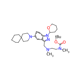 CN(CCN(C)C(=O)OC(C)(C)C)Cc1nn(C2CCCCO2)c2ccc(N3CCC4(CCCCC4)CC3)cc12